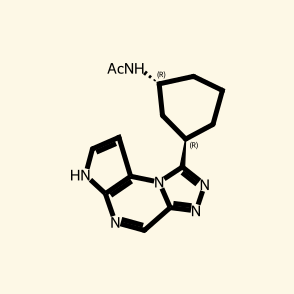 CC(=O)N[C@@H]1CCC[C@@H](c2nnc3cnc4[nH]ccc4n23)C1